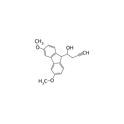 C#CCC(O)C1c2ccc(OC)cc2-c2cc(OC)ccc21